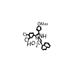 COc1ccc(-c2[nH]c(C=C(C(=O)O)c3cccc4ccccc34)nc2-c2ccc(Cl)c(Cl)c2)cc1